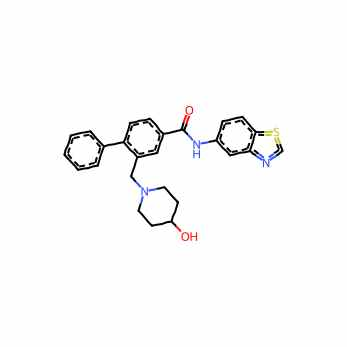 O=C(Nc1ccc2scnc2c1)c1ccc(-c2ccccc2)c(CN2CCC(O)CC2)c1